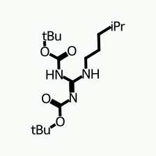 CC(C)CCCN/C(=N/C(=O)OC(C)(C)C)NC(=O)OC(C)(C)C